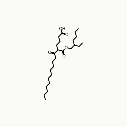 CCCCCCCCCCCC(=O)C(CCCC(=O)O)C(=O)OCC(CC)CCCC